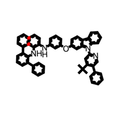 CC(C)(C)c1cc(-n2c3ccccc3c3ccc(Oc4cccc(Nc5ccccc5Nc5c(-c6ccccc6)cccc5-c5ccccc5)c4)cc32)ncc1-c1ccccc1